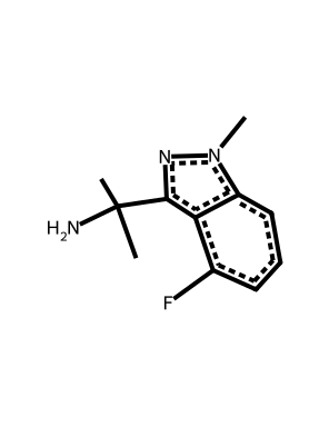 Cn1nc(C(C)(C)N)c2c(F)cccc21